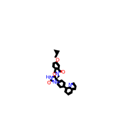 O=C1NC(=O)[C@](CN2Cc3ccc(OCC4CC4)cc3C2=O)(c2ccc(-c3cccc4cccnc34)cc2)N1